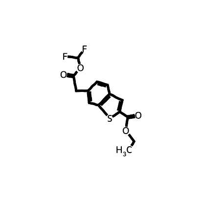 CCOC(=O)c1cc2ccc(CC(=O)OC(F)F)cc2s1